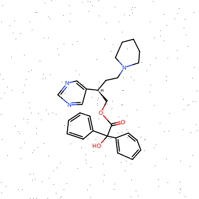 O=C(OC[C@H](CCN1CCCCC1)c1cncnc1)C(O)(c1ccccc1)c1ccccc1